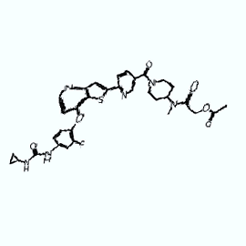 CC(=O)OCC(=O)N(C)C1CCN(C(=O)c2ccc(-c3cc4nccc(Oc5ccc(NC(=O)NC6CC6)cc5F)c4s3)nc2)CC1